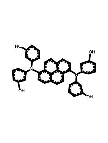 Oc1cccc(N(c2cccc(O)c2)c2ccc3ccc4c(N(c5cccc(O)c5)c5cccc(O)c5)ccc5ccc2c3c54)c1